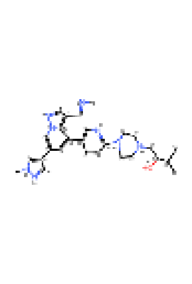 CN=Cc1cnn2cc(-c3cnn(C)c3)cc(-c3ccc(N4CCN(CC(O)C(C)C)CC4)nc3)c12